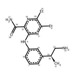 CCc1nc(Nc2cccc([C@H](C)CN)c2)c(C(N)=O)nc1CC